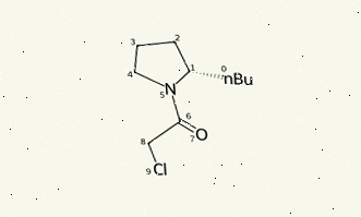 [CH2]CCC[C@H]1CCCN1C(=O)CCl